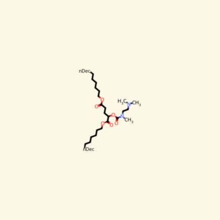 CCCCCCCCCCCCCCCCOC(=O)CCC(OC(=O)N(C)CCN(C)C)C(=O)OCCCCCCCCCCCCCCCC